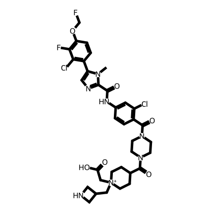 Cn1c(-c2ccc(OCF)c(F)c2Cl)cnc1C(=O)Nc1ccc(C(=O)N2CCN(C(=O)C3CC[N+](CC(=O)O)(CC4CNC4)CC3)CC2)c(Cl)c1